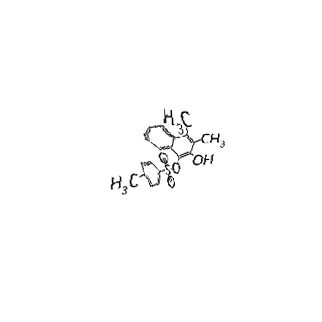 Cc1ccc(S(=O)(=O)Oc2c(O)c(C)c(C)c3ccccc23)cc1